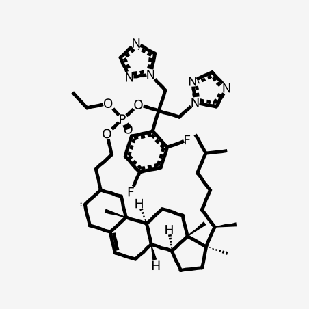 CCOP(=O)(OCCC1[C]CC2=CC[C@@H]3[C@H](CC[C@@]4(C)[C@H]3CC[C@]4(C)[C@H](C)CCCC(C)C)[C@@]2(C)C1)OC(Cn1cncn1)(Cn1cncn1)c1ccc(F)cc1F